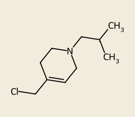 C[C](C)CN1CC=C(CCl)CC1